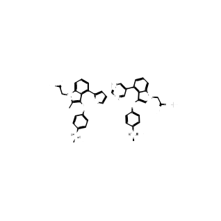 CS(=O)(=O)c1ccc(Sc2cn(CC(=O)O)c3cccc(-c4cncnc4)c23)cc1.Cc1c(Sc2ccc(S(C)(=O)=O)cc2)c2c(-c3cccs3)cccc2n1CC(=O)O